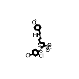 COc1ccc(CNCCc2cc([N+](=O)[O-])c(Sc3ccc(Cl)cc3Cl)s2)cc1